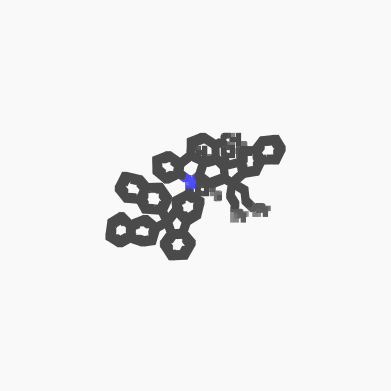 CC(C)CCC1(CCC(C)C)C2=CC3(C)C4=C(C(C)C=CC4(C)c4ccccc4N3c3ccc4c(c3)C(c3ccc5ccccc5c3)(c3ccc5ccccc5c3)c3ccccc3-4)C2(C)c2cc3ccccc3cc21